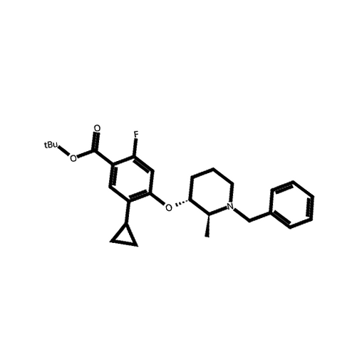 C[C@H]1[C@H](Oc2cc(F)c(C(=O)OC(C)(C)C)cc2C2CC2)CCCN1Cc1ccccc1